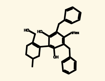 CCCCCCc1c(Cc2ccccc2)c(O)c(C2=C(CO)CCC(C)C2)c(O)c1Cc1ccccc1